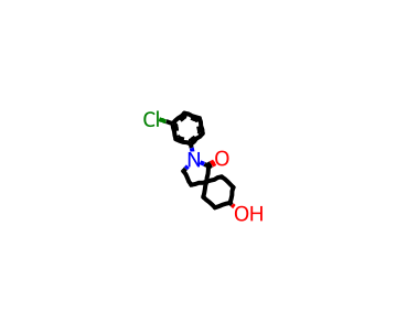 O=C1N(c2cccc(Cl)c2)CCC12CCC(O)CC2